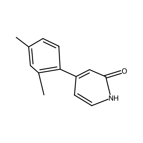 Cc1ccc(-c2cc[nH]c(=O)c2)c(C)c1